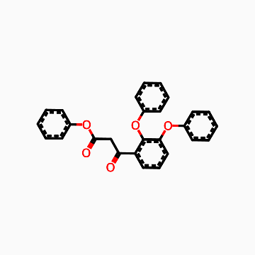 O=C(CC(=O)c1cccc(Oc2ccccc2)c1Oc1ccccc1)Oc1ccccc1